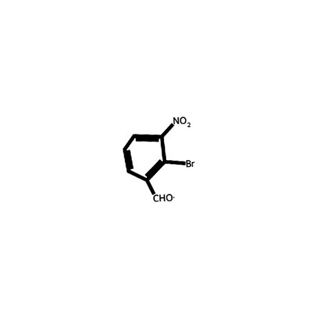 O=[C]c1cccc([N+](=O)[O-])c1Br